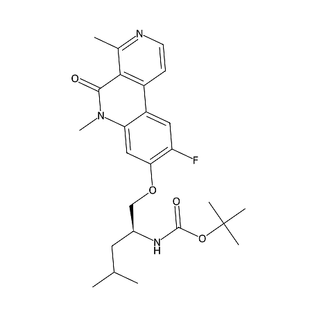 Cc1nccc2c1c(=O)n(C)c1cc(OC[C@H](CC(C)C)NC(=O)OC(C)(C)C)c(F)cc21